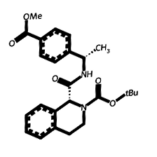 COC(=O)c1ccc([C@H](C)NC(=O)[C@H]2c3ccccc3CCN2C(=O)OC(C)(C)C)cc1